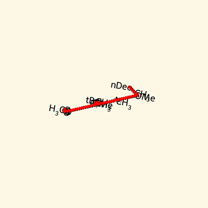 CCCCCCCCCCCCCCCCCC[C@H](C)[C@H](CCCCCCCCCCCCCCCC[C@H](C)C1C[C@H]1CCCCCCCCCCCCCCCCCC(C[C@@H](CCCCCCCCCCCCCCCCCCCCCCCCOS(=O)(=O)c1ccc(C)cc1)C(=O)OC)O[Si](C)(C)C(C)(C)C)OC